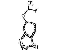 FC(Oc1ccc2[nH]nnc2c1)C(F)(F)F